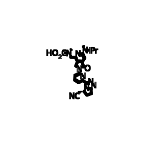 CC(C)N(C)c1cc2c(c(CN(C)C(=O)O)n1)CN(c1cccc(-c3nnc4n3[C@@H](CC#N)CC4)n1)C2=O